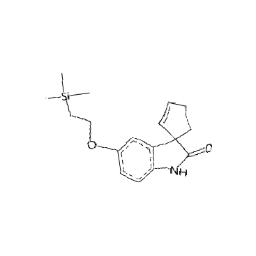 C[Si](C)(C)CCOc1ccc2c(c1)C1(C=CCC1)C(=O)N2